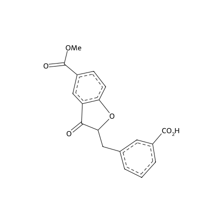 COC(=O)c1ccc2c(c1)C(=O)C(Cc1cccc(C(=O)O)c1)O2